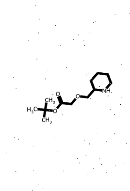 CC(C)(C)OC(=O)COCC1CCCCN1